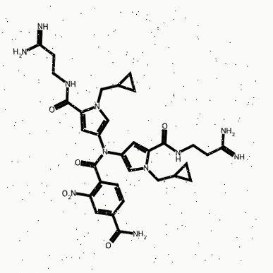 N=C(N)CCNC(=O)c1cc(N(C(=O)c2ccc(C(N)=O)cc2[N+](=O)[O-])c2cc(C(=O)NCCC(=N)N)n(CC3CC3)c2)cn1CC1CC1